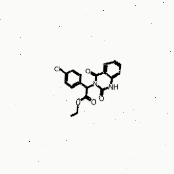 CCOC(=O)C(c1ccc(Cl)cc1)n1c(=O)[nH]c2ccccc2c1=O